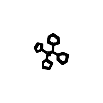 C1=CC[C]([Zr]([C]2=CC=CC2)=[C](c2ccccc2)c2ccccc2)=C1